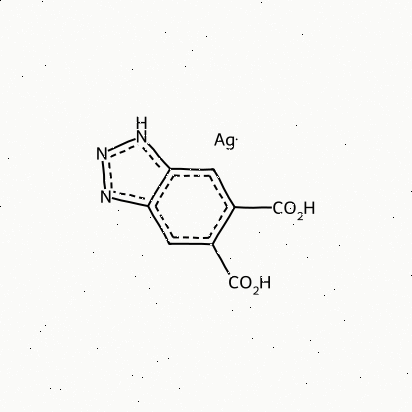 O=C(O)c1cc2nn[nH]c2cc1C(=O)O.[Ag]